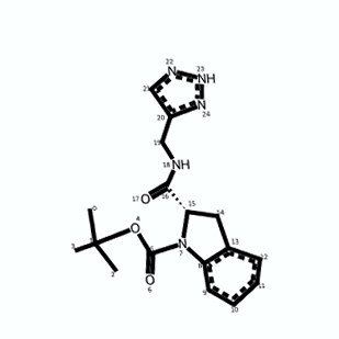 CC(C)(C)OC(=O)N1c2ccccc2C[C@H]1C(=O)NCc1cn[nH]n1